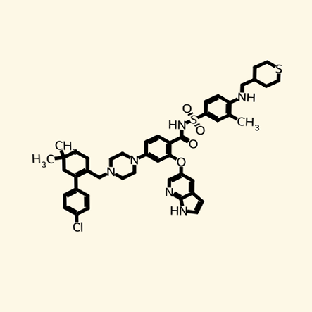 Cc1cc(S(=O)(=O)NC(=O)c2ccc(N3CCN(CC4=C(c5ccc(Cl)cc5)CC(C)(C)CC4)CC3)cc2Oc2cnc3[nH]ccc3c2)ccc1NCC1CCSCC1